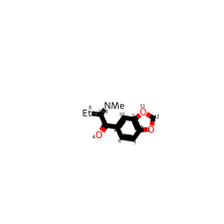 CCC(NC)C(=O)c1ccc2c(c1)OCO2